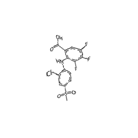 CS(=O)(=O)c1ccc(Nc2c(C(=O)O)cc(F)c(F)c2F)c(Cl)c1